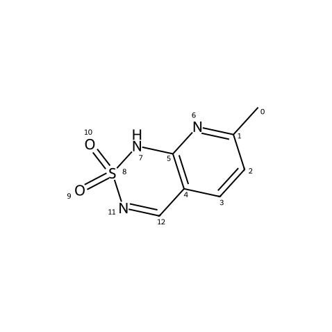 Cc1ccc2c(n1)NS(=O)(=O)N=C2